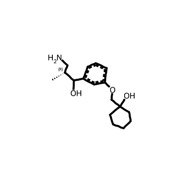 C[C@H](CN)C(O)c1cccc(OCC2(O)CCCCC2)c1